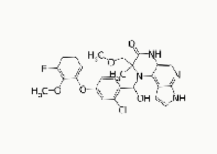 COCC1(C)C(=O)Nc2cnc3[nH]ccc3c2N1C(O)c1ccc(Oc2cccc(F)c2OC)cc1Cl